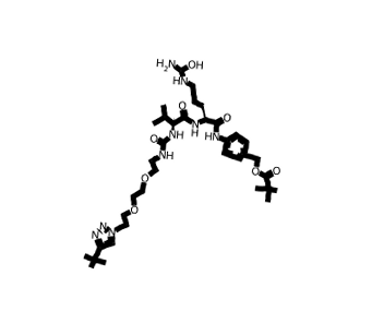 CC(C)[C@H](NC(=O)NCCOCCOCCn1cc(C(C)(C)C)nn1)C(=O)N[C@@H](CCCNC(N)O)C(=O)Nc1ccc(COC(=O)C(C)(C)C)cc1